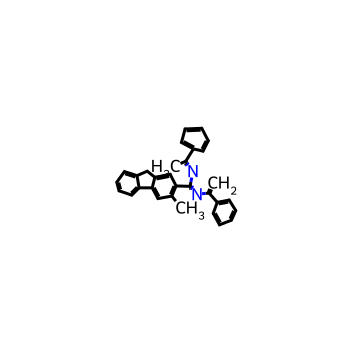 C=C(/N=C(\N=C(/C)c1ccccc1)c1cc2c(cc1C)-c1ccccc1C2)c1ccccc1